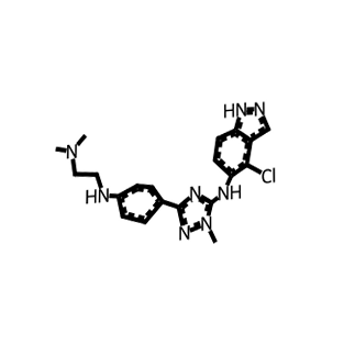 CN(C)CCNc1ccc(-c2nc(Nc3ccc4[nH]ncc4c3Cl)n(C)n2)cc1